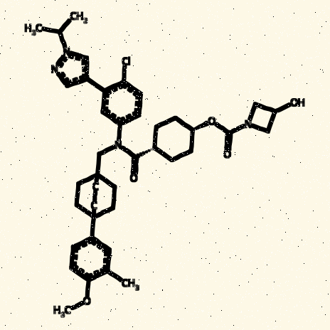 COc1ccc(C23CCC(CN(c4ccc(Cl)c(-c5cnn(C(C)C)c5)c4)C(=O)[C@H]4CC[C@H](OC(=O)N5CC(O)C5)CC4)(CC2)CC3)cc1C